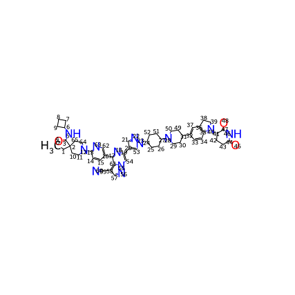 CCC1(C(=O)NC2CCC2)CCN(c2ccc(-c3nc(-c4cnn([C@H]5CC[C@H](N6CCC(c7ccc8c(c7)CCN8[C@H]7CCC(=O)NC7=O)CC6)CC5)c4)cn4ncc(C#N)c34)cn2)CC1